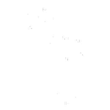 CN(Cc1cccc(NC(=O)c2nc(-c3ccc(S(=O)(=O)C(C)(C)C)cc3)cnc2N)c1O)C(=O)OC(C)(C)C